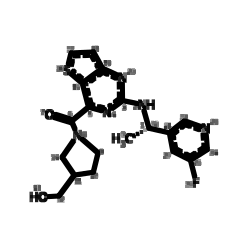 C[C@H](Nc1nc(C(=O)N2CCC(CO)C2)c2sccc2n1)c1cncc(F)c1